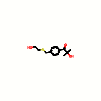 CC(C)(O)C(=O)c1ccc(CSCCO)cc1